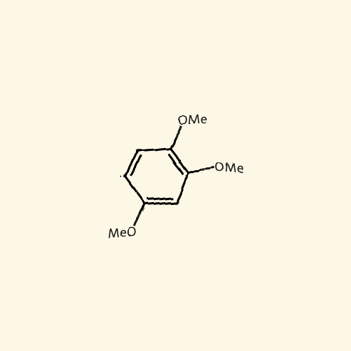 COc1[c]cc(OC)c(OC)c1